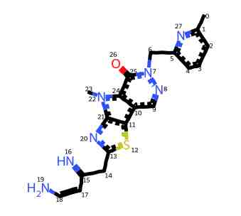 Cc1cccc(Cn2ncc3c4sc(CC(=N)/C=C\N)nc4n(C)c3c2=O)n1